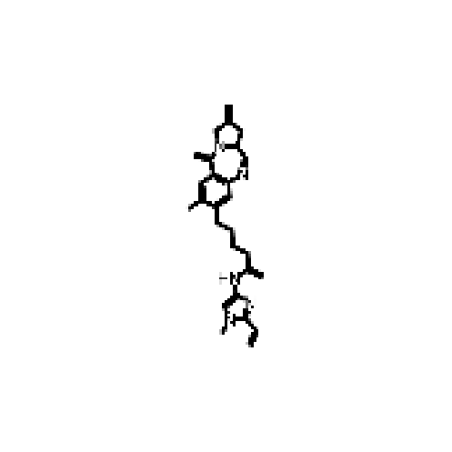 C=Cc1nc(NC(=C)CCCCc2cc3c(cc2C)C(=C)N2CC(=C)CC2C=N3)cn1C